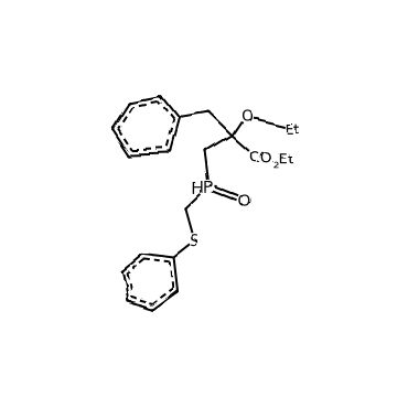 CCOC(=O)C(Cc1ccccc1)(C[PH](=O)CSc1ccccc1)OCC